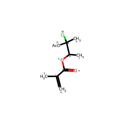 C=C(C)C(=O)OC(C)C(C)(Cl)OC(C)=O